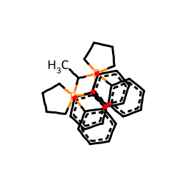 CC(P1(c2ccccc2)(c2ccccc2)CCCC1)P1(c2ccccc2)(c2ccccc2)CCCC1